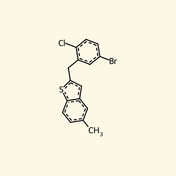 Cc1ccc2sc(Cc3cc(Br)ccc3Cl)cc2c1